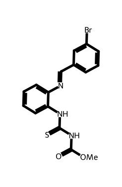 COC(=O)NC(=S)Nc1ccccc1/N=C/c1cccc(Br)c1